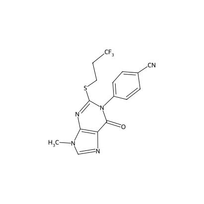 Cn1cnc2c(=O)n(-c3ccc(C#N)cc3)c(SCCC(F)(F)F)nc21